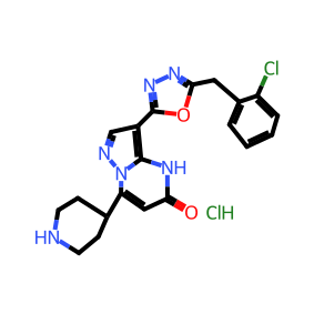 Cl.O=c1cc(C2CCNCC2)n2ncc(-c3nnc(Cc4ccccc4Cl)o3)c2[nH]1